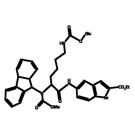 CCOC(=O)c1cc2cc(NC(=O)C(CCCCNC(=O)OC(C)(C)C)N(C(=O)OC)C3c4ccccc4C4C=CC=CC43)ccc2[se]1